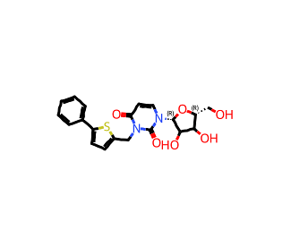 O=c1ccn([C@@H]2O[C@H](CO)C(O)C2O)c(=O)n1Cc1ccc(-c2ccccc2)s1